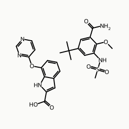 COc1c(NS(C)(=O)=O)cc(C(C)(C)C)cc1C(N)=O.O=C(O)c1cc2cccc(Oc3ccncn3)c2[nH]1